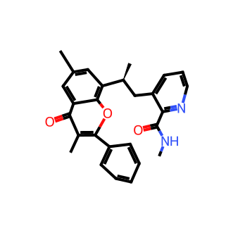 CNC(=O)c1ncccc1C[C@H](C)c1cc(C)cc2c(=O)c(C)c(-c3ccccc3)oc12